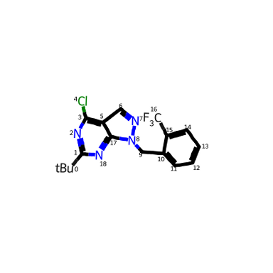 CC(C)(C)c1nc(Cl)c2cnn(Cc3ccccc3C(F)(F)F)c2n1